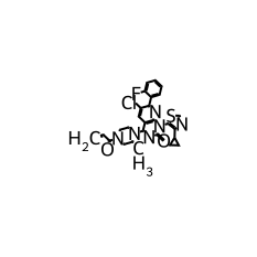 C=CC(=O)N1CCN(c2nc(=O)n(-c3scnc3C3CC3)c3nc(-c4ccccc4F)c(Cl)cc23)[C@@H](C)C1